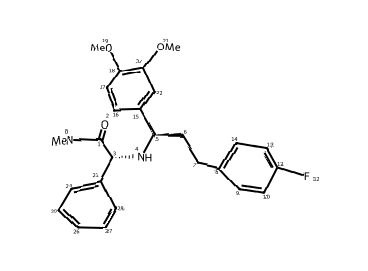 CNC(=O)[C@H](N[C@H](CCc1ccc(F)cc1)c1ccc(OC)c(OC)c1)c1ccccc1